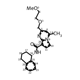 COCCOCc1cc(C)n2ccc(C(=O)N[C@H]3CCCc4ccccc43)c2n1